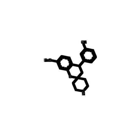 CC(C)COc1ccc2c(c1)OC1(CCNCC1)CC2c1cccc(O)c1